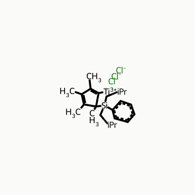 CC1=C(C)C(C)([Si](CC(C)C)(CC(C)C)c2ccccc2)[C]([Ti+3])=C1C.[Cl-].[Cl-].[Cl-]